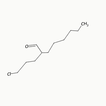 CCCCCCC(C=O)CCCCl